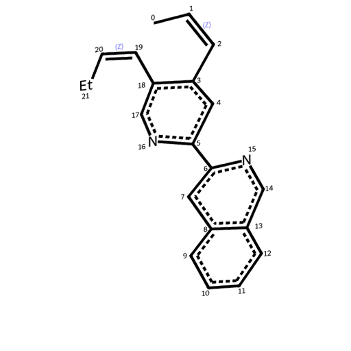 C/C=C\c1cc(-c2cc3ccccc3cn2)ncc1/C=C\CC